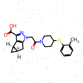 Cc1ccccc1SC1CCN(C(=O)Cn2nc(C(=O)O)c3c2C[C@H]2C[C@@H]32)CC1